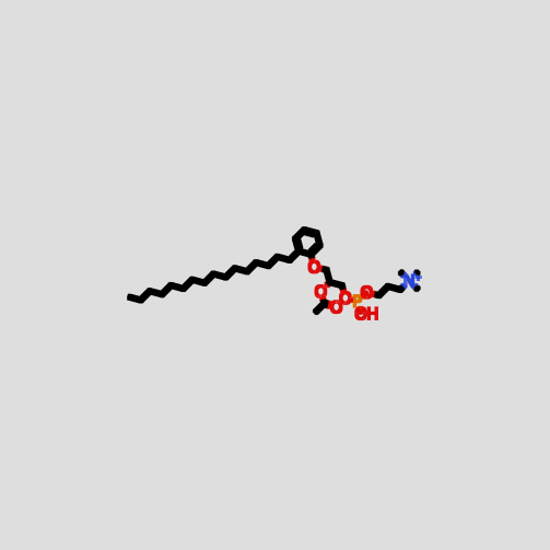 CCCCCCCCCCCCCCCCc1ccccc1OCC(COP(O)OCCC[N+](C)(C)C)OC(C)=O